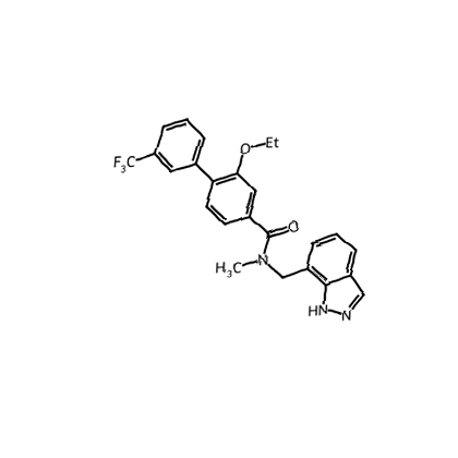 CCOc1cc(C(=O)N(C)Cc2cccc3cn[nH]c23)ccc1-c1cccc(C(F)(F)F)c1